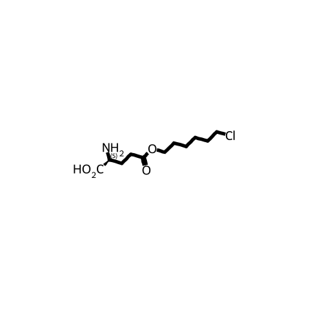 N[C@@H](CCC(=O)OCCCCCCCl)C(=O)O